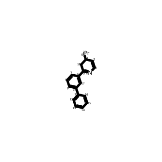 CC(C)C1C=CN=C(c2cccc(-c3ccccc3)c2)C1